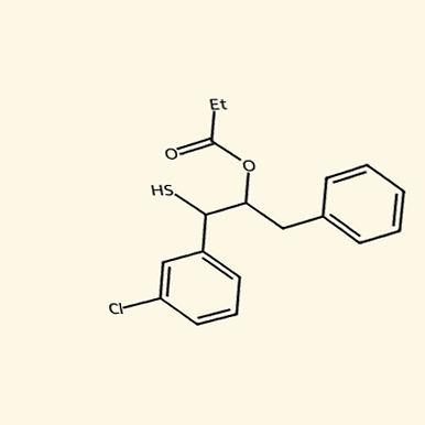 CCC(=O)OC(Cc1ccccc1)C(S)c1cccc(Cl)c1